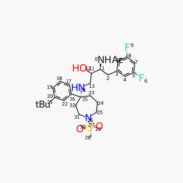 CC(=O)N[C@@H](Cc1cc(F)cc(F)c1)[C@H](O)CN[C@]1(c2cccc(C(C)(C)C)c2)CCCN(S(C)(=O)=O)CC1